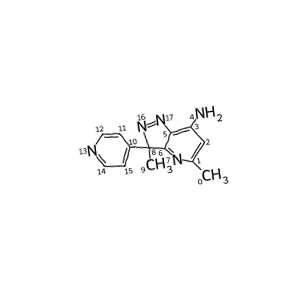 Cc1cc(N)c2c(n1)C(C)(c1ccncc1)N=N2